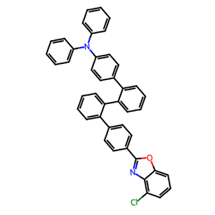 Clc1cccc2oc(-c3ccc(-c4ccccc4-c4ccccc4-c4ccc(N(c5ccccc5)c5ccccc5)cc4)cc3)nc12